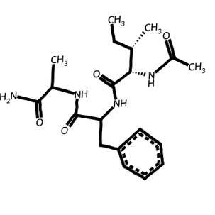 CC[C@H](C)[C@H](NC(C)=O)C(=O)NC(Cc1ccccc1)C(=O)NC(C)C(N)=O